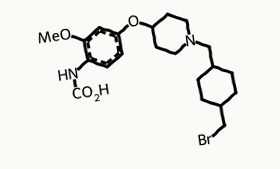 COc1cc(OC2CCN(CC3CCC(CBr)CC3)CC2)ccc1NC(=O)O